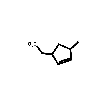 O=C(O)CC1C=CC(I)C1